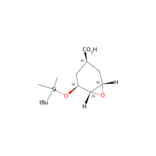 CC(C)(C)[Si](C)(C)O[C@H]1C[C@@H](C(=O)O)C[C@@H]2O[C@@H]21